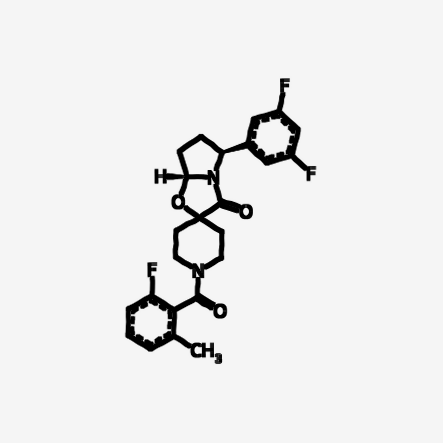 Cc1cccc(F)c1C(=O)N1CCC2(CC1)O[C@@H]1CC[C@@H](c3cc(F)cc(F)c3)N1C2=O